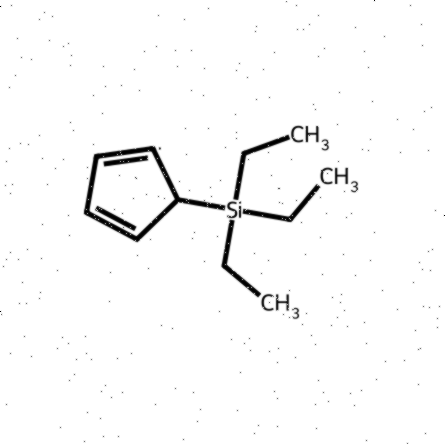 CC[Si](CC)(CC)C1[C]=CC=C1